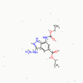 CCOC(=O)Nc1cc(C(=O)OCC)cc2c(NN)n[nH]c12